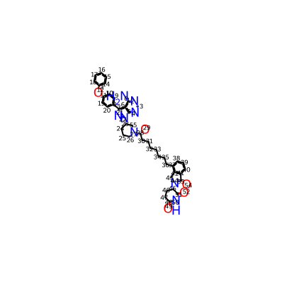 Nc1ncnc2c1c(-c1ccc(Oc3ccccc3)cc1)nn2C1CCCN(C(=O)CCCCCCCc2cccc3c2CN(C2CCC(=O)NC2=O)C3=O)C1